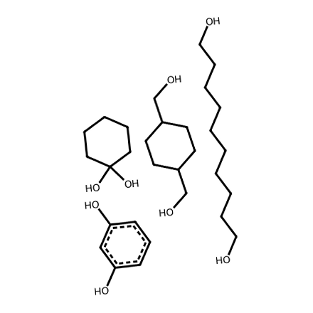 OC1(O)CCCCC1.OCC1CCC(CO)CC1.OCCCCCCCCCCO.Oc1cccc(O)c1